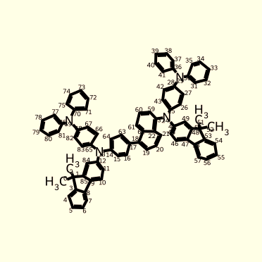 CC1(C)c2ccccc2-c2ccc(N(c3ccc(-c4cccc5c(N(c6ccc(N(c7ccccc7)c7ccccc7)cc6)c6ccc7c(c6)C(C)(C)c6ccccc6-7)cccc45)cc3)c3ccc(N(c4ccccc4)c4ccccc4)cc3)cc21